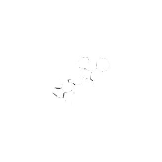 CC(C)c1cccc(C(C)C)c1NC(=O)CN1CC2(CCCCC2)N(C2CCCCCC2)C1=O